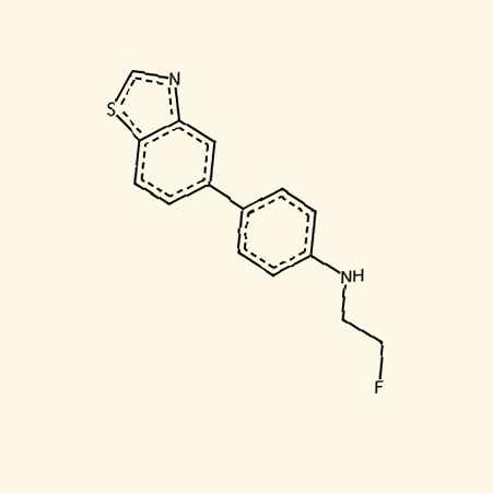 FCCNc1ccc(-c2ccc3scnc3c2)cc1